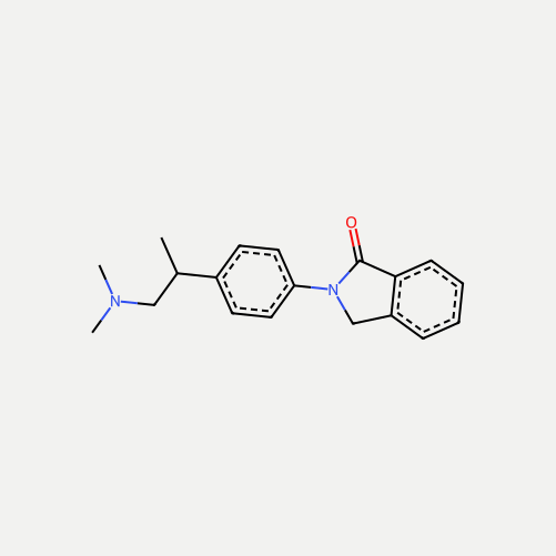 CC(CN(C)C)c1ccc(N2Cc3ccccc3C2=O)cc1